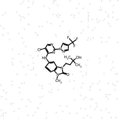 Cn1c(=O)n(CCC(C)(C)O)c2cc(Nc3nc(-n4cc(C(F)(F)F)cn4)ncc3Cl)ccc21